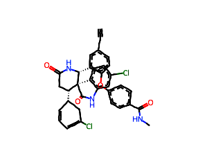 C#Cc1ccc(Oc2ccc(C(=O)NC)cc2)c([C@H]2NC(=O)C[C@@H](C3C=CC=C(Cl)C3)[C@]23C(=O)Nc2cc(Cl)ccc23)c1